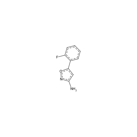 Nc1cc(-c2ccccc2F)on1